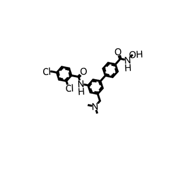 CN(C)Cc1cc(NC(=O)c2ccc(Cl)cc2Cl)cc(-c2ccc(C(=O)NO)cc2)c1